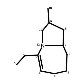 CCC1=CCCCC2CC(C)CN12